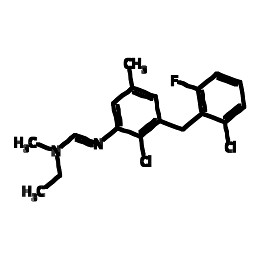 CCN(C)C=Nc1cc(C)cc(Cc2c(F)cccc2Cl)c1Cl